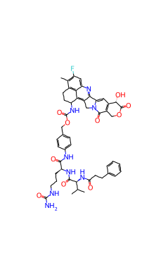 Cc1c(F)cc2nc3c(c4c2c1CCC4NC(=O)OCc1ccc(NC(=O)[C@H](CCCNC(N)=O)NC(=O)[C@@H](NC(=O)CCc2ccccc2)C(C)C)cc1)Cn1c-3cc2c(c1=O)COC(=O)[C@H]2O